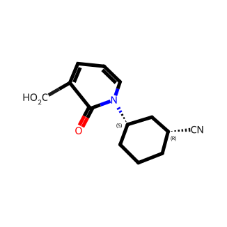 N#C[C@@H]1CCC[C@H](n2cccc(C(=O)O)c2=O)C1